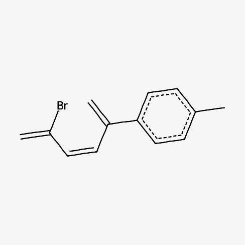 C=C(Br)/C=C\C(=C)c1ccc(C)cc1